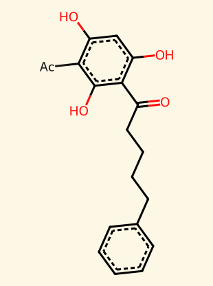 CC(=O)c1c(O)cc(O)c(C(=O)CCCCc2ccccc2)c1O